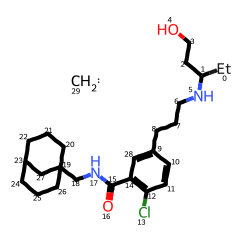 CCC(CCO)NCCCc1ccc(Cl)c(C(=O)NCC23CCCC(CCC2)C3)c1.[CH2]